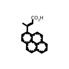 CC(=CC(=O)O)c1ccc2ccc3cccc4ccc1c2c34